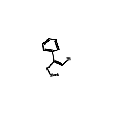 [2H]/C=C(/SCCCCC)c1ccccc1